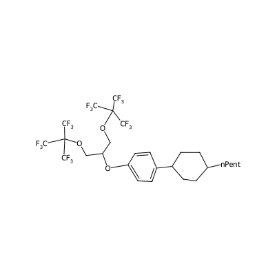 CCCCCC1CCC(c2ccc(OC(COC(C(F)(F)F)(C(F)(F)F)C(F)(F)F)COC(C(F)(F)F)(C(F)(F)F)C(F)(F)F)cc2)CC1